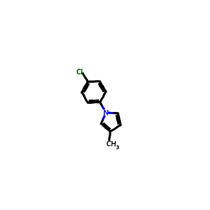 Cc1ccn(-c2ccc(Cl)cc2)c1